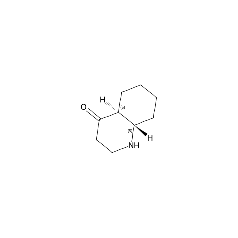 O=C1CCN[C@H]2CCCC[C@H]12